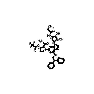 CCC(=O)N[C@H]1C[C@@H](n2cnc3c(NCC(c4ccccc4)c4ccccc4)nc(N4CC[C@@H](OC(=O)C(F)(F)F)C4C(N)=O)nc32)[C@H](O)[C@@H]1O